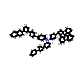 c1ccc(-c2ccc(-c3cccc(N(c4ccc(-c5ccc(-c6cccc(-c7ccc8ccccc8c7)c6)cc5)cc4)c4ccc(-c5cccc6c5-c5ccccc5C6(c5ccccc5)c5ccccc5)cc4)c3)cc2)cc1